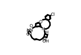 O=C1NS(=O)(=O)CC/C=C/C[C@H](O)[C@@H]2CC[C@H]2CN2CCCCc3cc(Cl)ccc3COc3ccc1cc32